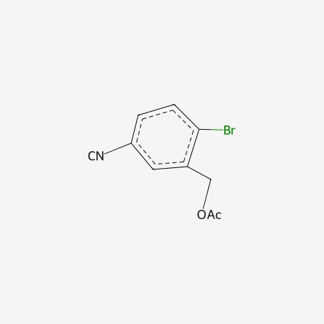 [C-]#[N+]c1ccc(Br)c(COC(C)=O)c1